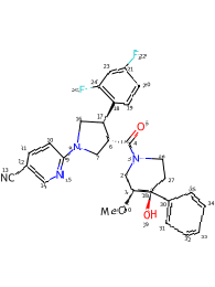 CO[C@H]1CN(C(=O)[C@@H]2CN(c3ccc(C#N)cn3)C[C@H]2c2ccc(F)cc2F)CC[C@]1(O)c1ccccc1